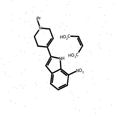 CC(C)N1CC=C(c2cc3cccc([N+](=O)[O-])c3[nH]2)CC1.O=C(O)/C=C\C(=O)O